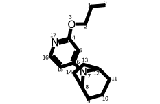 CCCOc1cc(N2C3CCCC2CC3)ccn1